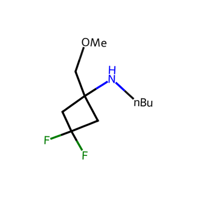 CCCCNC1(COC)CC(F)(F)C1